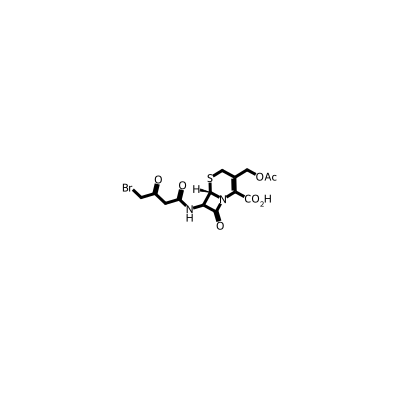 CC(=O)OCC1=C(C(=O)O)N2C(=O)C(NC(=O)CC(=O)CBr)[C@@H]2SC1